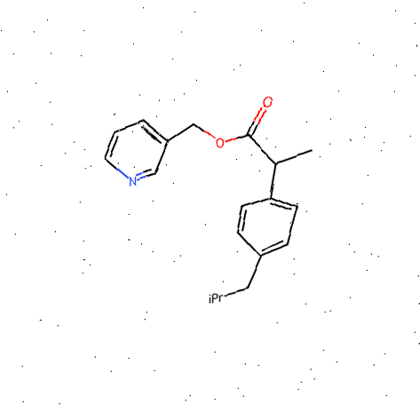 CC(C)Cc1ccc(C(C)C(=O)OCc2cccnc2)cc1